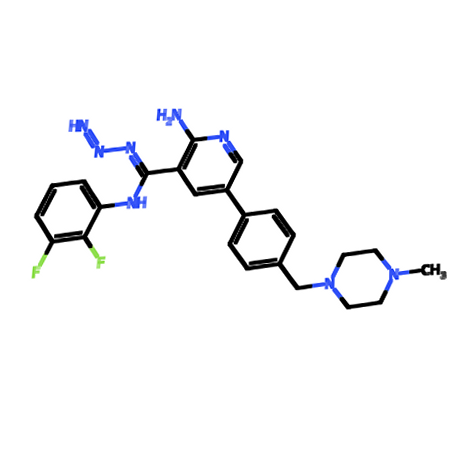 CN1CCN(Cc2ccc(-c3cnc(N)c(/C(=N/N=N)Nc4cccc(F)c4F)c3)cc2)CC1